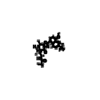 COc1ccc(-c2nc(C(=O)N[C@@H](C)CNC(=O)C(C)C)c([C@H](C)N)o2)c2ccc(C(F)(F)F)nc12